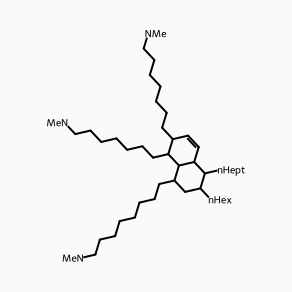 CCCCCCCC1C(CCCCCC)CC(CCCCCCCCNC)C2C1C=CC(CCCCCCCNC)C2CCCCCCCNC